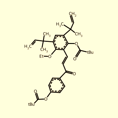 C=CC(C)(C)c1cc(C(C)(C)C=C)c(OC(=O)C(C)(C)C)c(C=CC(=O)c2ccc(OC(=O)C(C)(C)C)cc2)c1OCC